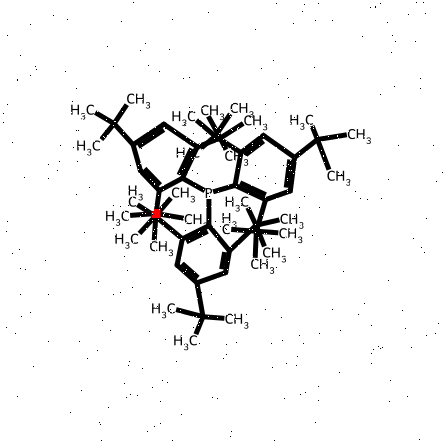 CC(C)(C)c1cc(C(C)(C)C)c(P(c2c(C(C)(C)C)cc(C(C)(C)C)cc2C(C)(C)C)c2c(C(C)(C)C)cc(C(C)(C)C)cc2C(C)(C)C)c(C(C)(C)C)c1